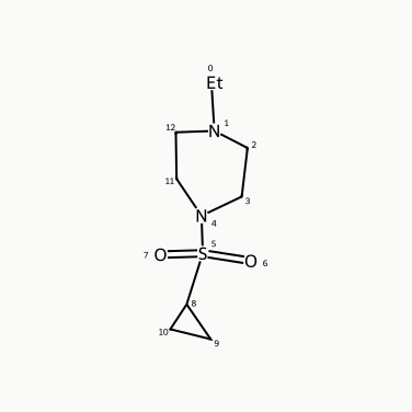 CCN1CCN(S(=O)(=O)C2CC2)CC1